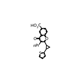 CCCc1c(C2CC2c2cccs2)oc2ccc(C(=O)O)cc2c1=O